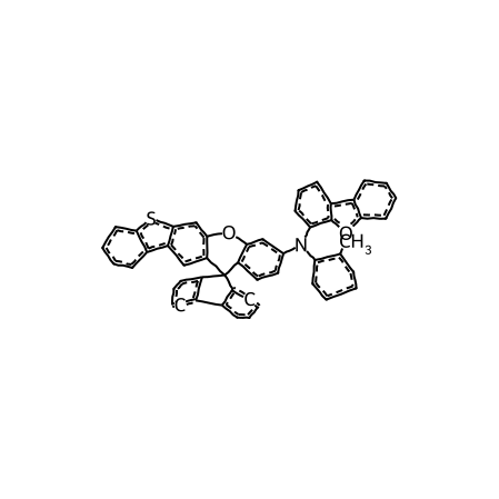 Cc1ccccc1N(c1ccc2c(c1)Oc1cc3sc4ccccc4c3cc1C21c2ccccc2-c2ccccc21)c1cccc2c1oc1ccccc12